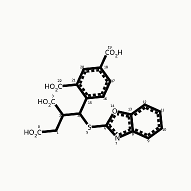 O=C(O)CC(C(=O)O)C(Sc1nc2ccccc2o1)c1ccc(C(=O)O)cc1C(=O)O